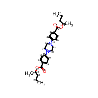 CCC[C@H](C)OC(=O)c1ccc(N2CCN(c3ccc(C(=O)O[C@@H](C)CCC)cc3)CC2)cc1